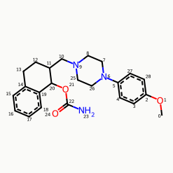 COc1ccc(N2CCN(CC3CCc4ccccc4C3OC(N)=O)CC2)cc1